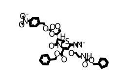 [N-]=[N+]=C1S[C@H]2[C@@H](C(C=O)OC(=O)OCc3ccc([N+](=O)[O-])cc3)C(=O)N2C(C(=O)OCc2ccccc2)=C1OCCNC(=O)OCc1ccccc1